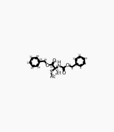 CC[C@](NC(=O)OCc1ccccc1)(SC(C)=O)C(=O)OCc1ccccc1